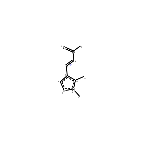 CC(=O)/C=C/c1cnn(C)c1C